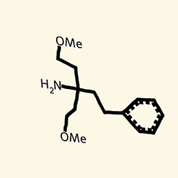 COCCC(N)(CCOC)CCc1ccccc1